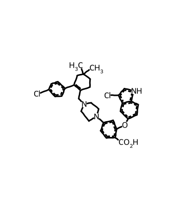 CC1(C)CCC(CN2CCN(c3ccc(C(=O)O)c(Oc4ccc5[nH]cc(Cl)c5c4)c3)CC2)=C(c2ccc(Cl)cc2)C1